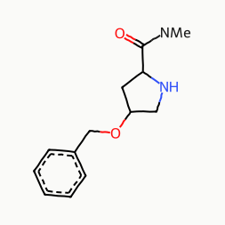 CNC(=O)C1CC(OCc2ccccc2)CN1